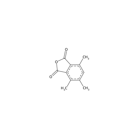 Cc1cc(C)c2c(c1C)C(=O)OC2=O